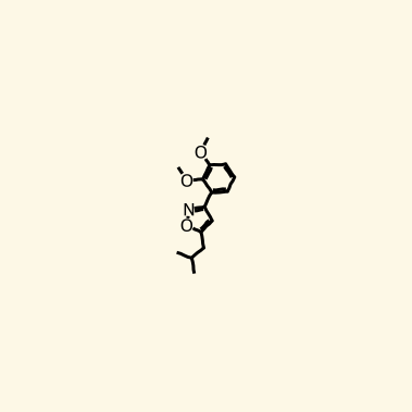 COc1cccc(-c2cc(CC(C)C)on2)c1OC